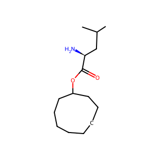 CC(C)C[C@H](N)C(=O)OC1CCCCCCCC1